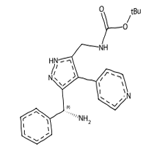 CC(C)(C)OC(=O)NCc1[nH]nc([C@H](N)c2ccccc2)c1-c1ccncc1